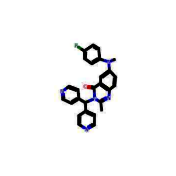 Cc1nc2ccc(N(C)c3ccc(F)cc3)cc2c(=O)n1C(c1ccncc1)c1ccncc1